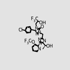 C[C@H](O)c1nc(Cn2nc(-c3ccc(Cl)cc3)n(C[C@H](O)C(F)(F)F)c2=O)nn1-c1ncccc1OC(F)(F)F